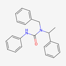 CC(c1ccccc1)N(Cc1ccccc1)C(=O)Nc1ccccc1